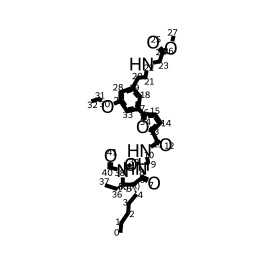 CCCCC[C@@H](C(=O)NCNC(=O)c1ccc(-c2cc(CCNCC(=O)OC)cc(OCC)c2)o1)[C@@H](CC)N(O)C=O